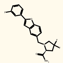 NC(=O)[C@@H]1CC(F)(F)CN1Cc1ccc2oc(-c3cccc(F)c3)cc2c1